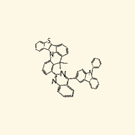 CC1(C)c2c(-c3nc(-c4ccc5c(c4)c4ccccc4n5-c4ccccc4)c4ccccc4n3)cccc2-n2c3c1cccc3c1sc3ccccc3c12